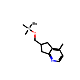 Cc1ccnc2c1CC(CO[Si](C)(C)C(C)(C)C)C2